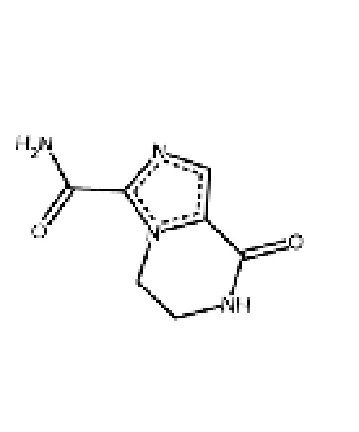 NC(=O)c1ncc2n1CCNC2=O